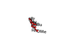 C=C/C(=C\CCCNC(=C)[C@H](C)OC)[C@H]1CCCN(C[C@H](NC(=O)OC(C)(C)C)C(=O)N2CCC[C@@H](C(=O)OCC(C)(C)CCC)N2)C1